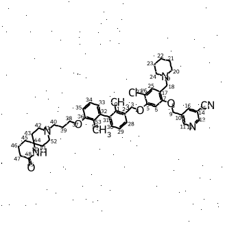 Cc1c(COc2cc(OCc3cncc(C#N)c3)c(CN3CCCCC3)cc2Cl)cccc1-c1cccc(OCCCN2CCC3(CCCC(=O)N3)CC2)c1C